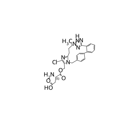 CCCCc1nc(Cl)c(COC(=O)[C@@H](N)CC(=O)O)n1Cc1ccc(-c2ccccc2-c2nn[nH]n2)cc1